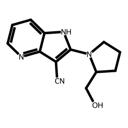 N#Cc1c(N2CCCC2CO)[nH]c2cccnc12